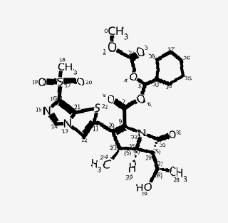 COC(=O)OC(OC(=O)C1=C(c2cn3cnc(S(C)(=O)=O)c3s2)[C@H](C)[C@@H]2[C@@H]([C@@H](C)O)C(=O)N12)C1CCCCC1